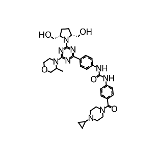 CC1COCCN1c1nc(-c2ccc(NC(=O)Nc3ccc(C(=O)N4CCN(C5CC5)CC4)cc3)cc2)nc(N2[C@H](CO)CC[C@@H]2CO)n1